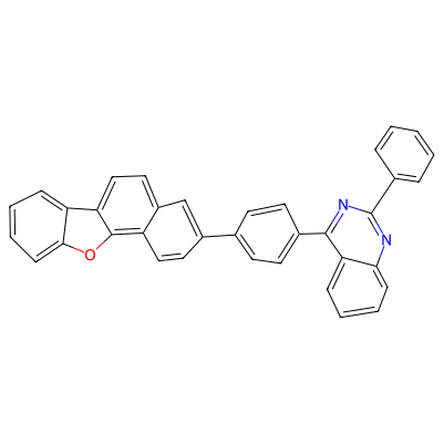 c1ccc(-c2nc(-c3ccc(-c4ccc5c(ccc6c7ccccc7oc56)c4)cc3)c3ccccc3n2)cc1